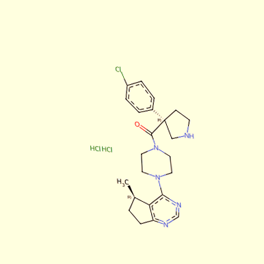 C[C@@H]1CCc2ncnc(N3CCN(C(=O)[C@@]4(c5ccc(Cl)cc5)CCNC4)CC3)c21.Cl.Cl